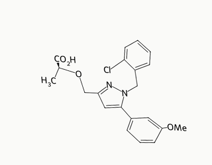 COc1cccc(-c2cc(CO[C@@H](C)C(=O)O)nn2Cc2ccccc2Cl)c1